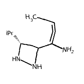 C/C=C(/N)C1NN[C@@H]1C(C)C